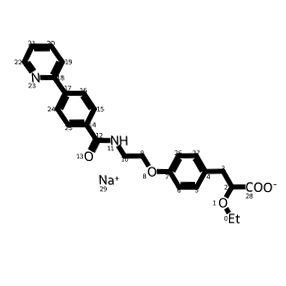 CCOC(Cc1ccc(OCCNC(=O)c2ccc(-c3ccccn3)cc2)cc1)C(=O)[O-].[Na+]